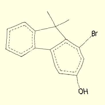 CC1(C)c2ccccc2-c2cc(O)cc(Br)c21